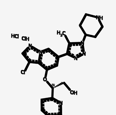 Cc1c(-c2cc(O[C@H](CO)c3ccccn3)c3c(Cl)cnn3c2)nnn1C1CCNCC1.Cl.Cl